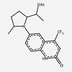 CC(=O)OC(C)C1CCC(C)N1c1ccc2[nH]c(=O)cc(C(F)(F)F)c2c1